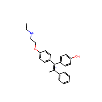 CCNCCOc1ccc(/C(=C(\C)c2ccccc2)c2ccc(O)cc2)cc1